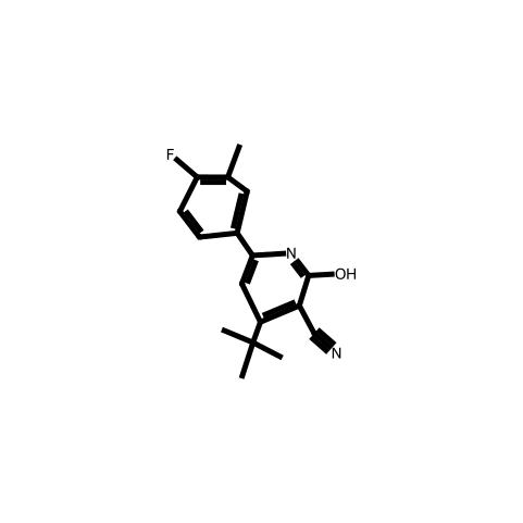 Cc1cc(-c2cc(C(C)(C)C)c(C#N)c(O)n2)ccc1F